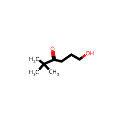 CC(C)(C)C(=O)CCCO